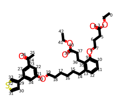 CCOC(=O)CCCOc1cccc(CCCCCCOc2cc(C(C)=O)cc(-c3ccsc3)c2)c1CCC(=O)OCC